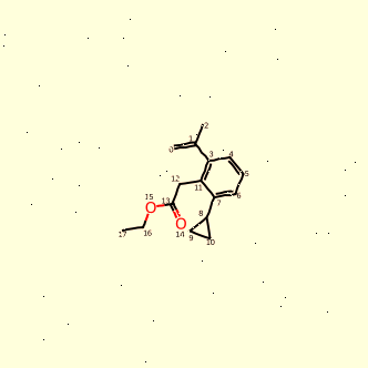 C=C(C)c1cccc(C2CC2)c1CC(=O)OCC